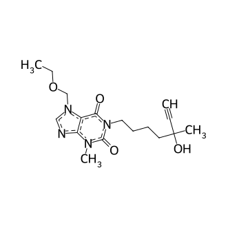 C#CC(C)(O)CCCCn1c(=O)c2c(ncn2COCC)n(C)c1=O